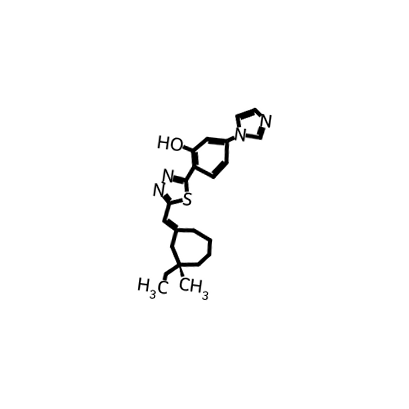 CC[C@@]1(C)CCCC/C(=C\c2nnc(-c3ccc(-n4ccnc4)cc3O)s2)C1